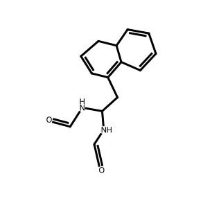 O=CNC(CC1=C2C=CC=CC2CC=C1)NC=O